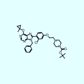 CC(C)(C)OC(=O)N1CCN(CCOc2ccc(-c3nc4c(OC5(C)CC5)ncnc4n3Cc3ccccc3)c(Cl)c2)CC1